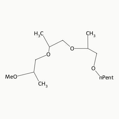 CCCCCOCC(C)OCC(C)OCC(C)OC